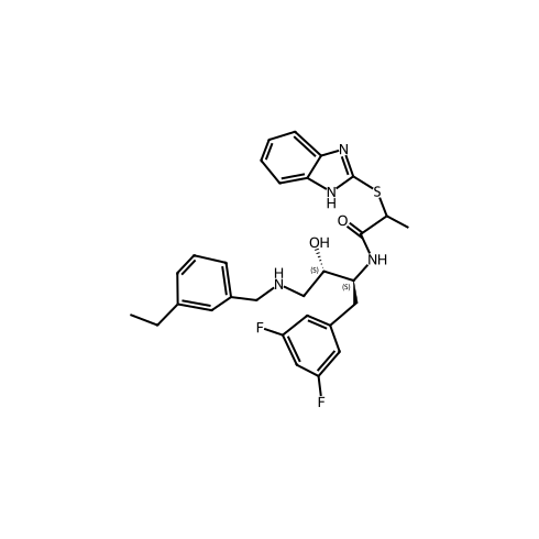 CCc1cccc(CNC[C@H](O)[C@H](Cc2cc(F)cc(F)c2)NC(=O)C(C)Sc2nc3ccccc3[nH]2)c1